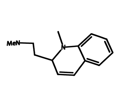 CNCCC1C=Cc2ccccc2N1C